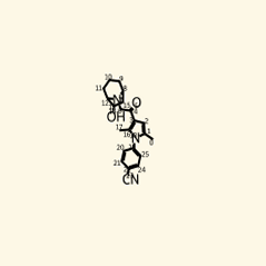 Cc1cc(C(=O)CN2C3CCCC2[C@H](O)C3)c(C)n1-c1ccc(C#N)cc1